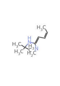 C=N/C(=C\C=C/C)NC(C)(C)C